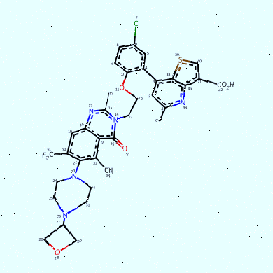 Cc1cc(-c2cc(Cl)ccc2OCCn2c(C)nc3cc(C(F)(F)F)c(N4CCN(C5COC5)CC4)c(C#N)c3c2=O)c2scc(C(=O)O)c2n1